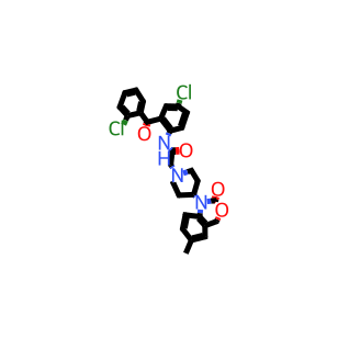 Cc1ccc2c(c1)COC(=O)N2C1CCN(CC(=O)Nc2ccc(Cl)cc2C(=O)c2ccccc2Cl)CC1